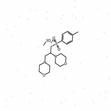 CS(=O)(=O)O.Cc1ccc(S(=O)(=O)CC(CN2CCOCC2)N2CCOCC2)cc1